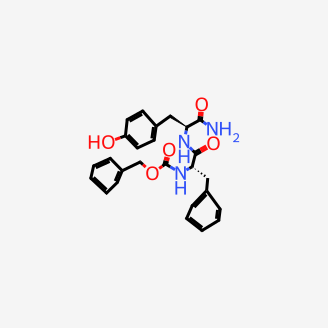 NC(=O)[C@H](Cc1ccc(O)cc1)NC(=O)[C@H](Cc1ccccc1)NC(=O)OCc1ccccc1